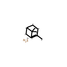 CC1=C2CC(CC1)C2(C)C.S